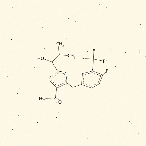 CC(C)C(O)c1cc(C(=O)O)n(Cc2ccc(F)c(C(F)(F)F)c2)c1